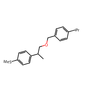 CSc1ccc(C(C)COCc2ccc(C(C)C)cc2)cc1